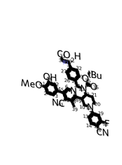 COc1ccc(-c2cnc(C3CN(c4ccc(C#N)c(F)c4)CCC3N(Cc3ccc(/C=C/C(=O)O)cc3)C(=O)OC(C)(C)C)c(C)c2C#N)cc1O